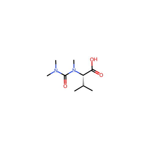 CC(C)[C@@H](C(=O)O)N(C)C(=O)N(C)C